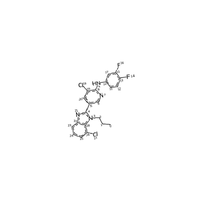 CCCn1c(-c2cnc(Nc3ccc(F)c(F)c3)c(Cl)c2)nc2cccc(Cl)c21